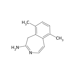 Cc1ccc(C)c2c1C=CN=C(N)C2